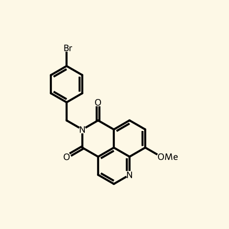 COc1ccc2c3c(ccnc13)C(=O)N(Cc1ccc(Br)cc1)C2=O